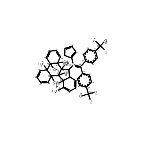 CC1=CC=CC2[CH]([Zr]([C]3=CC=CC3)=[C](c3ccc(C(Cl)(Cl)Cl)cc3)c3ccc(C(Cl)(Cl)Cl)cc3)C3(C)C4(C)C=CC=CC4(C)C4(C)C=CC=CC4(C)C3(C)C12C